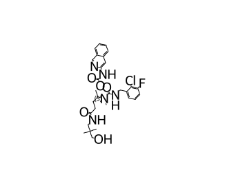 CN(C(=O)NCc1cccc(F)c1Cl)[C@@H](CCC(=O)NCC(C)(C)CO)COC(=O)Nc1cc2ccccc2cn1